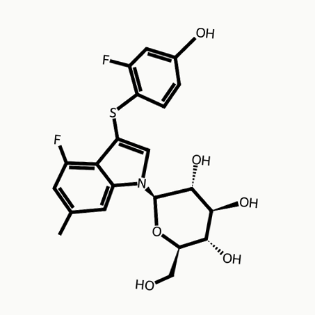 Cc1cc(F)c2c(Sc3ccc(O)cc3F)cn([C@@H]3O[C@H](CO)[C@@H](O)[C@H](O)[C@H]3O)c2c1